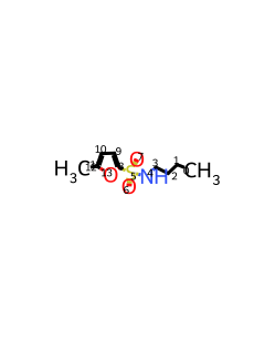 CCCCNS(=O)(=O)c1ccc(C)o1